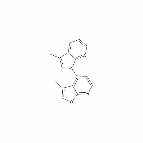 Cc1cn(-c2ccnc3occ(C)c23)c2ncccc12